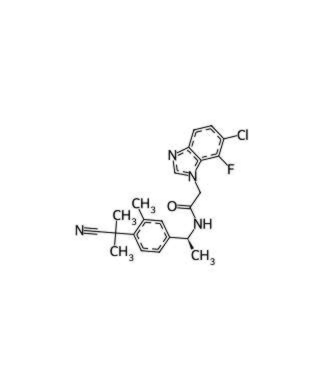 Cc1cc([C@H](C)NC(=O)Cn2cnc3ccc(Cl)c(F)c32)ccc1C(C)(C)C#N